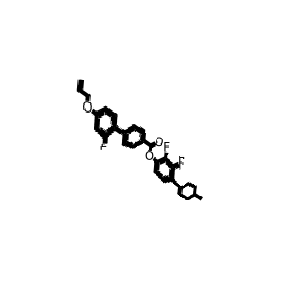 C=CCOc1ccc(-c2ccc(C(=O)Oc3ccc(C4CCC(C)CC4)c(F)c3F)cc2)c(F)c1